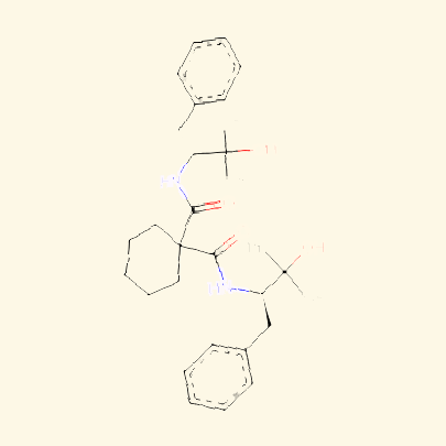 CCCC(O)(CCC)[C@@H](Cc1ccccc1)NC(=O)C1(C(=O)N[C@H](Cc2ccccc2)C(O)(CCC)CCC)CCCCC1